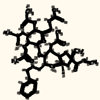 COC(=O)C1(C)OC2C(OC(C)=O)[C@H](O[C@@H]3OC(COC(C)=O)[C@H](OC(C)=O)[C@H](OC(C)=O)C3OC(C)=O)[C@H](COCc3ccccc3)O[C@@H]2O1